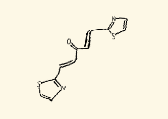 O=C(/C=C/c1nccs1)/C=C/c1nccs1